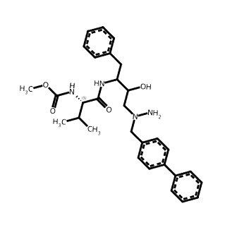 COC(=O)N[C@H](C(=O)NC(Cc1ccccc1)C(O)CN(N)Cc1ccc(-c2ccccc2)cc1)C(C)C